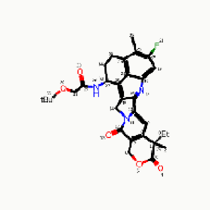 CC[C@@]1(C)C(=O)OCc2c1cc1n(c2=O)Cc2c-1nc1cc(F)c(C)c3c1c2[C@@H](NC(=O)COC(C)(C)C)CC3